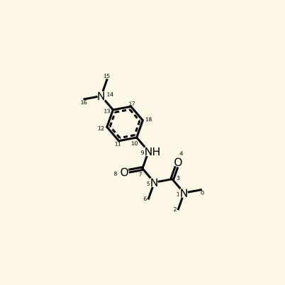 CN(C)C(=O)N(C)C(=O)Nc1ccc(N(C)C)cc1